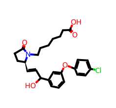 O=C(O)CCCCCCN1C(=O)CC[C@@H]1/C=C/C(O)c1cccc(Oc2ccc(Cl)cc2)c1